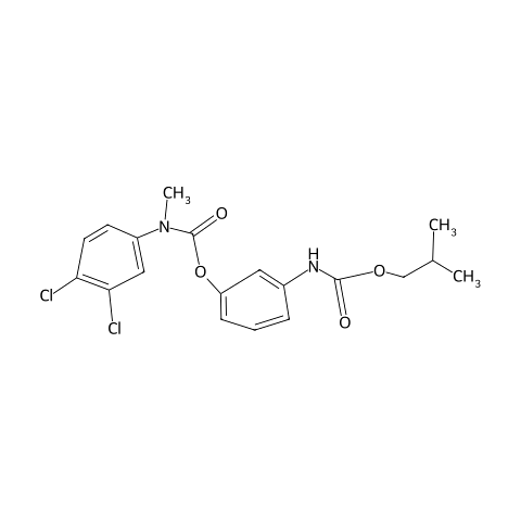 CC(C)COC(=O)Nc1cccc(OC(=O)N(C)c2ccc(Cl)c(Cl)c2)c1